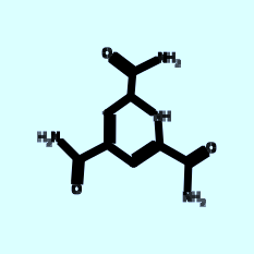 NC(=O)C1=[C]C(C(N)=O)NC(C(N)=O)=C1